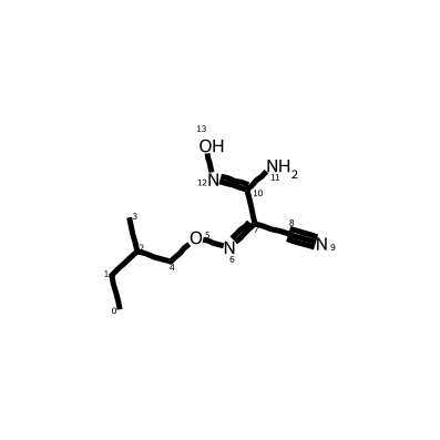 CCC(C)CON=C(C#N)C(N)=NO